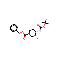 C[C@@H]1CN(C(=O)OCc2ccccc2)CC[C@@H]1NC(=O)OC(C)(C)C